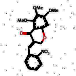 COc1cc2c(c(OC)c1OC)C(=O)/C(=C/c1ccccc1[N+](=O)[O-])CO2